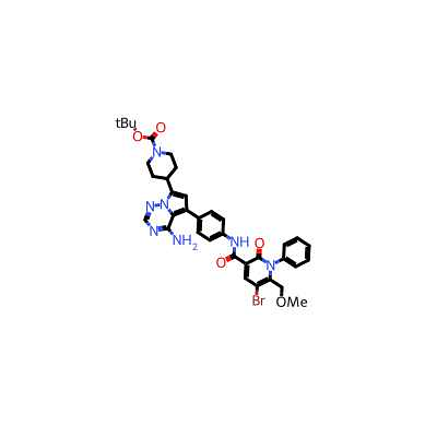 COCc1c(Br)cc(C(=O)Nc2ccc(-c3cc(C4CCN(C(=O)OC(C)(C)C)CC4)n4ncnc(N)c34)cc2)c(=O)n1-c1ccccc1